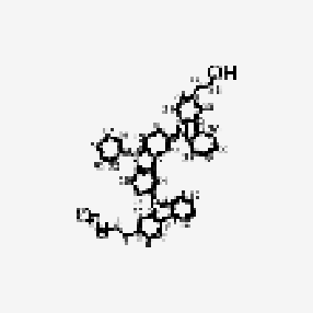 O=C=NCCc1ccc2c3ccccc3n(-c3ccc4c(c3)c3cc(-n5c6ccccc6c6cc(CCO)ccc65)ccc3n4-c3ccccc3)c2c1